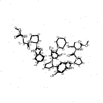 COC(=O)NC(C(=O)N1CCC[C@H]1c1nc2cc([C@H]3CC[C@H](c4cc5nc([C@@H]6CCCN6C(=O)[C@H](C)NC(=O)OC)[nH]c5cc4F)N3c3cc(F)c(N4CCCCC4)c(F)c3)c(F)cc2[nH]1)C(C)C